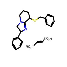 O=C(O)/C=C/C(=O)O.c1ccc(CSC2CCCN3CC(c4ccccc4)N=C23)cc1